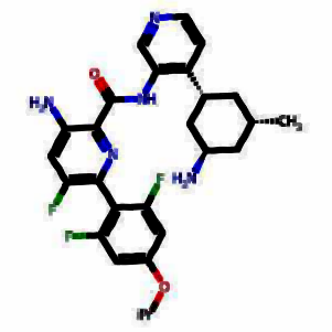 CC(C)Oc1cc(F)c(-c2nc(C(=O)Nc3cnccc3[C@@H]3C[C@H](C)C[C@@H](N)C3)c(N)cc2F)c(F)c1